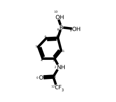 O=C(Nc1cccc(B(O)O)c1)C(F)(F)F